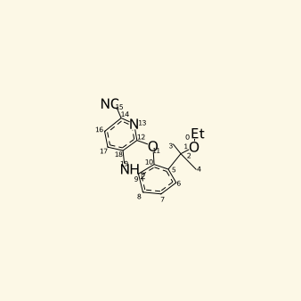 CCOC(C)(C)c1ccccc1Oc1nc(C#N)ccc1N